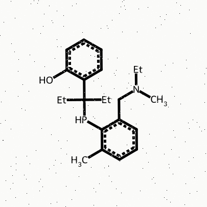 CCN(C)Cc1cccc(C)c1PC(CC)(CC)c1ccccc1O